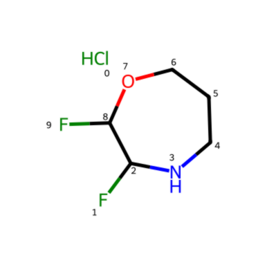 Cl.FC1NCCCOC1F